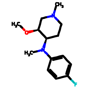 CO[C@H]1CN(C)CC[C@H]1N(C)c1ccc(F)cc1